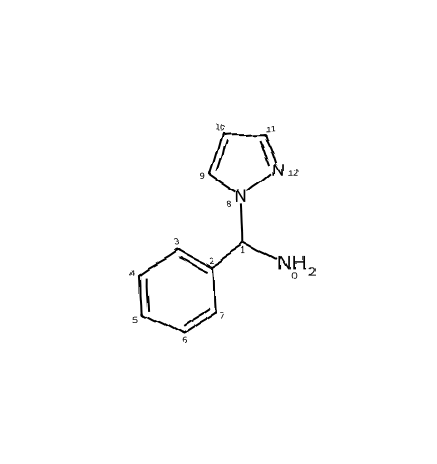 NC(c1ccccc1)n1cccn1